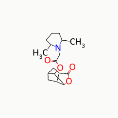 CC1CCCC(C)N1CC(=O)OC1C2CC3C(=O)OC1C3C2